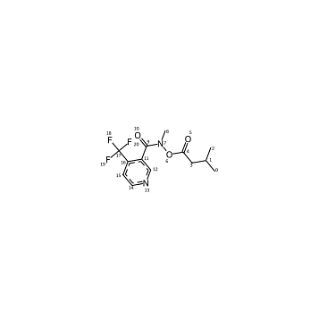 CC(C)CC(=O)ON(C)C(=O)c1cnccc1C(F)(F)F